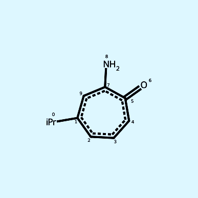 CC(C)c1cccc(=O)c(N)c1